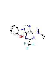 Oc1ccccc1-n1cnc2c(NC3CC3)nc(C(F)(F)F)nc21